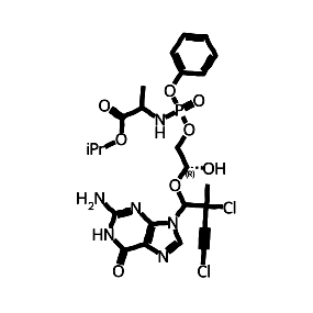 CC(C)OC(=O)C(C)NP(=O)(OC[C@H](O)OC(n1cnc2c(=O)[nH]c(N)nc21)C(C)(Cl)C#CCl)Oc1ccccc1